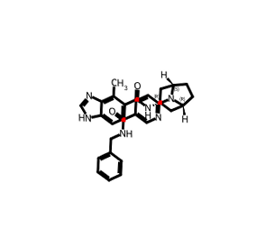 Cc1c(C(=O)N[C@H]2C[C@H]3CC[C@@H](C2)N3c2ccc(C(=O)NCc3ccccc3)cn2)ccc2[nH]cnc12